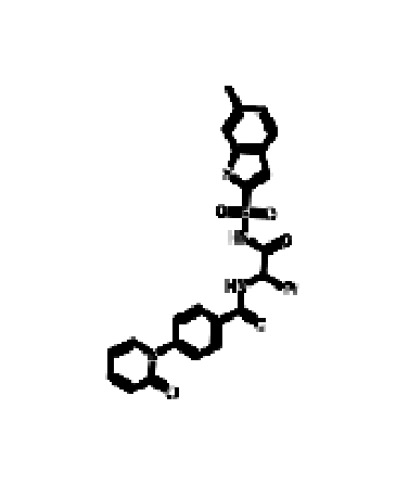 Cc1ccc2cc(S(=O)(=O)NC(=O)C(NC(=O)c3ccc(-n4ccccc4=O)cc3)C(C)C)sc2c1